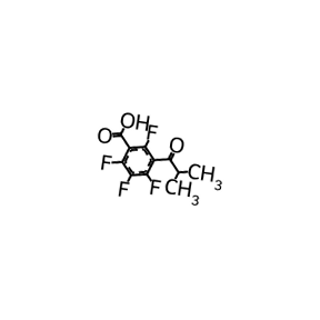 CC(C)C(=O)c1c(F)c(F)c(F)c(C(=O)O)c1F